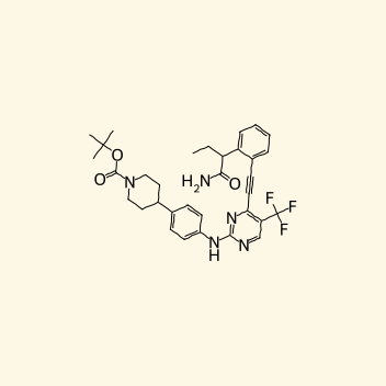 CCC(C(N)=O)c1ccccc1C#Cc1nc(Nc2ccc(C3CCN(C(=O)OC(C)(C)C)CC3)cc2)ncc1C(F)(F)F